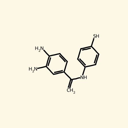 C=C(Nc1ccc(S)cc1)c1ccc(N)c(N)c1